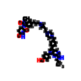 Cn1c(=O)n([C@H]2CCC(=O)NC2=O)c2ccc(CCCN3CC(CCN4CCN(Cc5ccc(-c6cn([C@H]7CC[C@H](O)CC7)c7nc(NCCC(F)(F)F)ncc67)cc5)CC4)C3)cc21